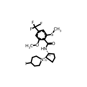 COc1cc(C(F)(F)F)cc(SC)c1C(=O)N[C@@H]1CCC[C@@H]1N1CCC(I)CC1